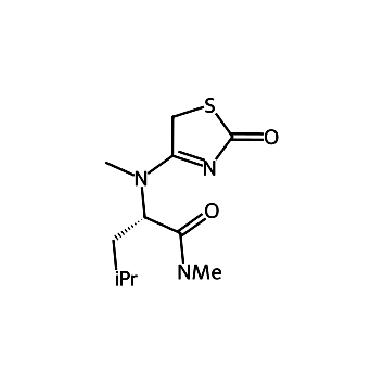 CNC(=O)[C@H](CC(C)C)N(C)C1=NC(=O)SC1